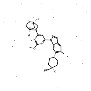 COc1nc(N2C[C@H]3C[C@@H]2CO3)cc(-n2ncc3cc(C)c([C@H]4CC[C@](C)(O)CC4)cc32)n1